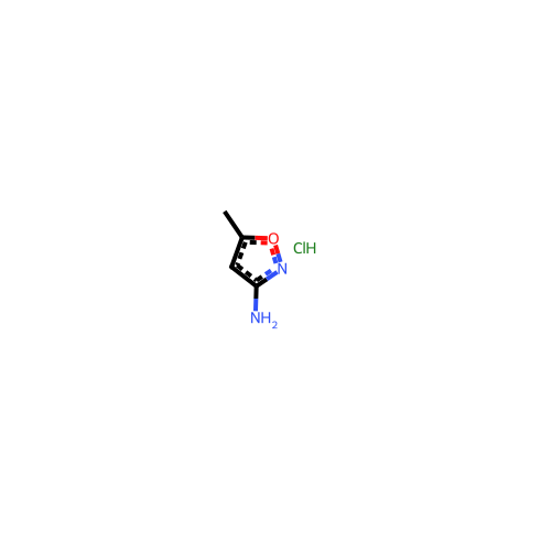 Cc1cc(N)no1.Cl